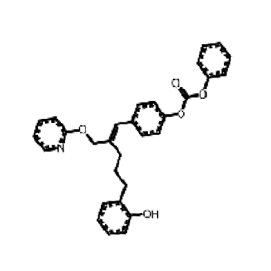 O=C(Oc1ccccc1)Oc1ccc(/C=C(\CCCc2ccccc2O)COc2ccccn2)cc1